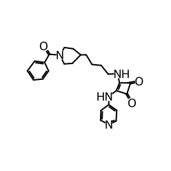 O=C(c1ccccc1)N1CCC(CCCCNc2c(Nc3ccncc3)c(=O)c2=O)CC1